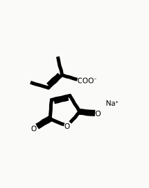 CC=C(C)C(=O)[O-].O=C1C=CC(=O)O1.[Na+]